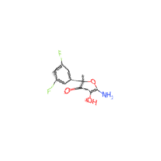 CC1(c2cc(F)cc(F)c2)OC(N)=C(O)C1=O